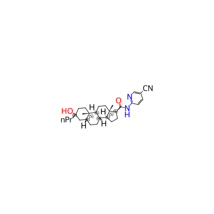 CCC[C@@]1(O)CC[C@@]2(C)[C@H](CC[C@@H]3[C@@H]2CC[C@]2(C)[C@@H](C(=O)Nc4ccc(C#N)cn4)CC[C@@H]32)C1